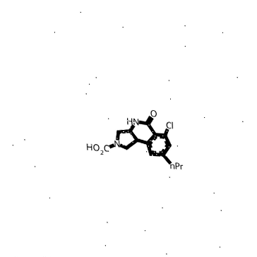 CCCc1cc(Cl)c2c(c1)C1CN(C(=O)O)CC1NC2=O